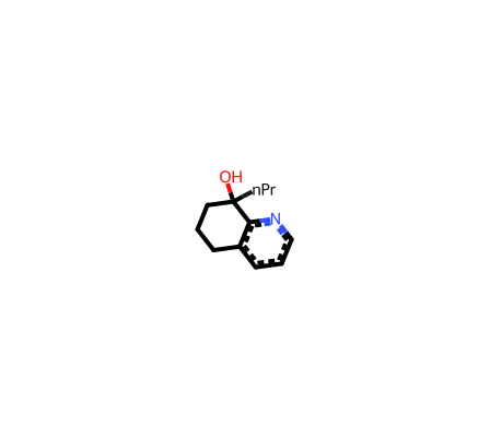 [CH2]CCC1(O)CCCc2cccnc21